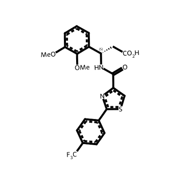 COc1cccc([C@H](CC(=O)O)NC(=O)c2csc(-c3ccc(C(F)(F)F)cc3)n2)c1OC